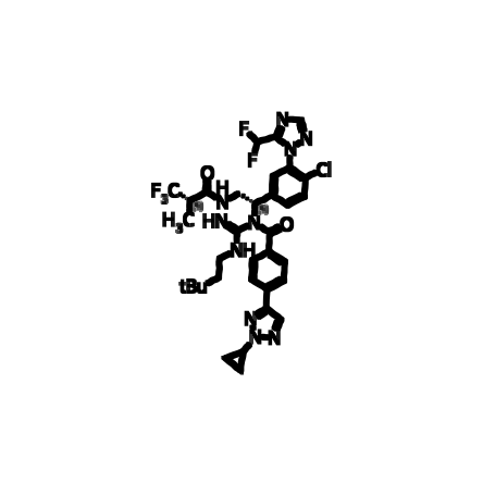 C[C@@H](C(=O)NC[C@H](c1ccc(Cl)c(-n2ncnc2C(F)F)c1)N(C(=N)NCCC(C)(C)C)C(=O)c1ccc(-c2cnn(C3CC3)n2)cc1)C(F)(F)F